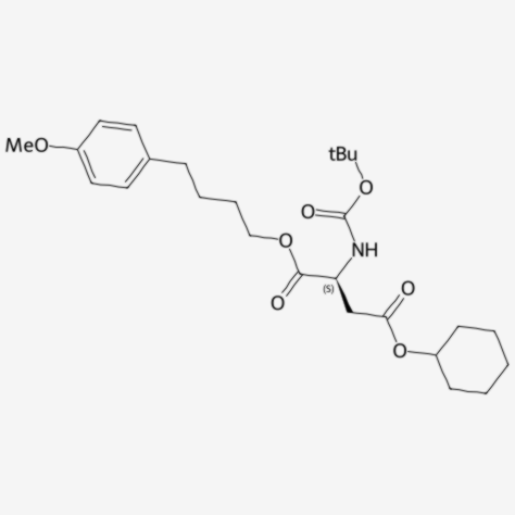 COc1ccc(CCCCOC(=O)[C@H](CC(=O)OC2CCCCC2)NC(=O)OC(C)(C)C)cc1